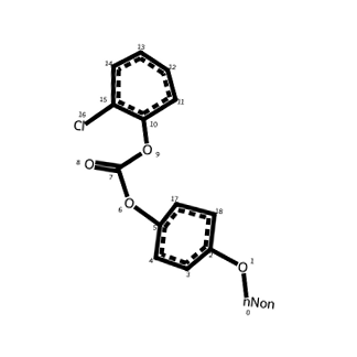 CCCCCCCCCOc1ccc(OC(=O)Oc2ccccc2Cl)cc1